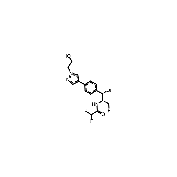 O=C(N[C@H](CF)[C@H](O)c1ccc(-c2cnn(CCO)c2)cc1)C(F)F